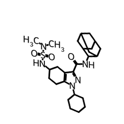 CN(C)S(=O)(=O)NC1CCc2c(c(C(=O)NC3C4CC5CC(C4)CC3C5)nn2C2CCCCC2)C1